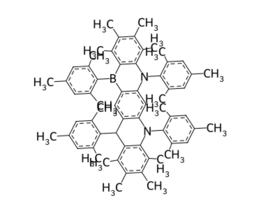 Cc1cc(C)c(B2c3cc4c(cc3N(c3c(C)cc(C)cc3C)c3c(C)c(C)c(C)c(C)c32)N(c2c(C)cc(C)cc2C)c2c(C)c(C)c(C)c(C)c2C4c2c(C)cc(C)cc2C)c(C)c1